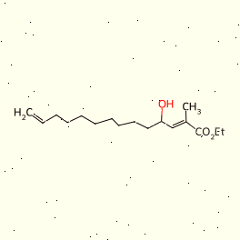 C=CCCCCCCCCC(O)C=C(C)C(=O)OCC